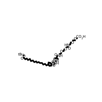 CC(C)(C)OC(=O)CCCCCCCCCCCCCCCc1ccc(S(=O)(=O)Nc2ncc(C(=O)NCCOCCOCC(=O)NCCOCCOCC(=O)O)cn2)cc1